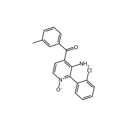 Cc1cccc(C(=O)c2cc[n+]([O-])c(-c3ccccc3Cl)c2N)c1